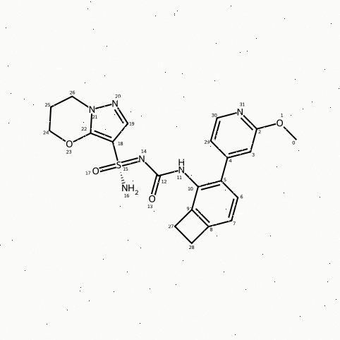 COc1cc(-c2ccc3c(c2NC(=O)N=[S@@](N)(=O)c2cnn4c2OCCC4)CC3)ccn1